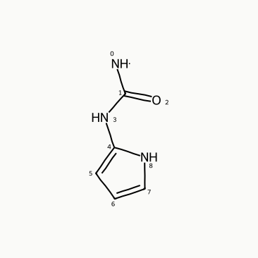 [NH]C(=O)Nc1ccc[nH]1